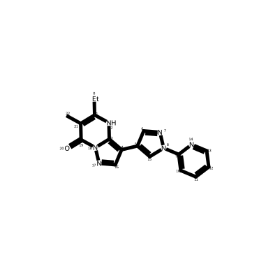 CCc1[nH]c2c(-c3cnn(-c4ccccn4)c3)cnn2c(=O)c1C